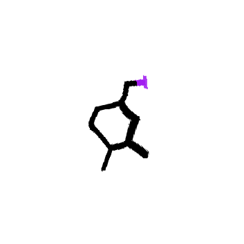 CC1CCC(CI)CC1C